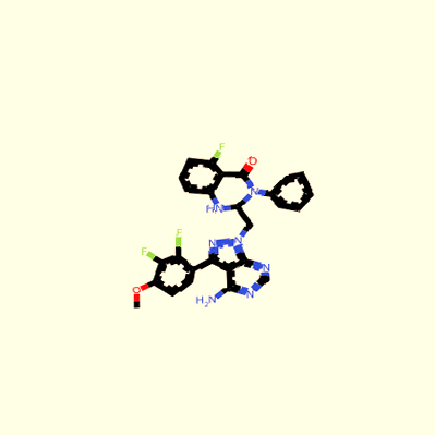 COc1ccc(-c2nn(CC3Nc4cccc(F)c4C(=O)N3c3ccccc3)c3ncnc(N)c23)c(F)c1F